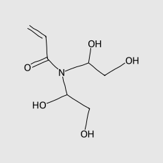 C=CC(=O)N(C(O)CO)C(O)CO